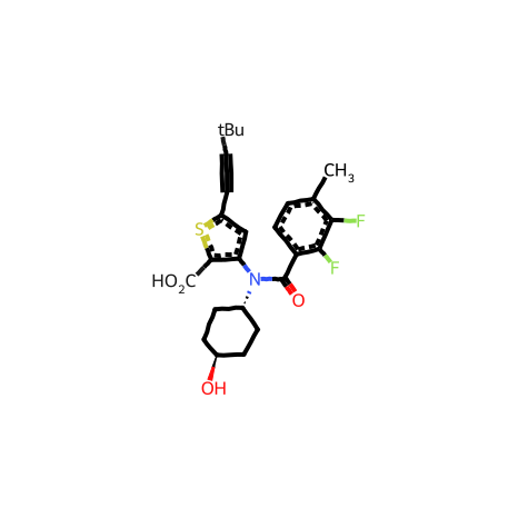 Cc1ccc(C(=O)N(c2cc(C#CC(C)(C)C)sc2C(=O)O)[C@H]2CC[C@H](O)CC2)c(F)c1F